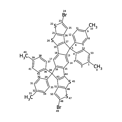 Cc1ccc(C2(c3ccc(C)cc3)c3cc4c(cc3-c3sc5sc(Br)cc5c32)C(c2ccc(C)cc2)(c2ccc(C)cc2)c2c-4sc3sc(Br)cc23)cc1